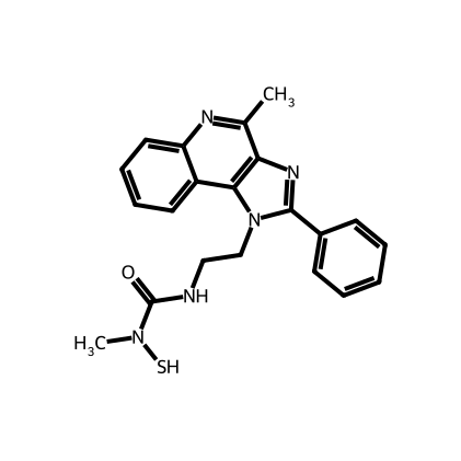 Cc1nc2ccccc2c2c1nc(-c1ccccc1)n2CCNC(=O)N(C)S